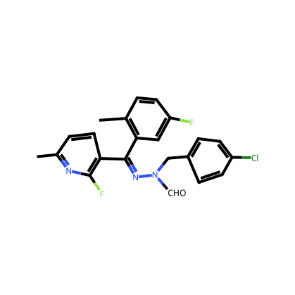 Cc1ccc(/C(=N/N(C=O)Cc2ccc(Cl)cc2)c2cc(F)ccc2C)c(F)n1